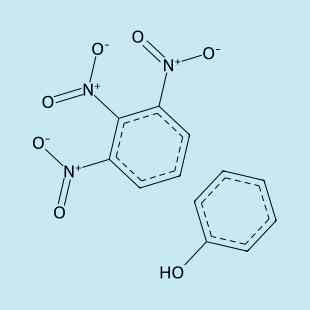 O=[N+]([O-])c1cccc([N+](=O)[O-])c1[N+](=O)[O-].Oc1ccccc1